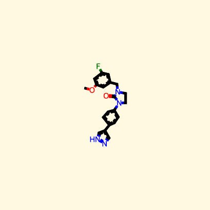 COc1cc(F)cc(CN2CCN(c3ccc(-c4cn[nH]c4)cc3)C2=O)c1